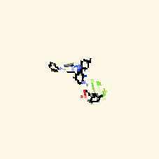 CC1CCC(c2cccc(NC(=O)c3cccc(C(F)(F)F)c3F)c2)(N2CCN(c3ccccc3)CC2)CC1